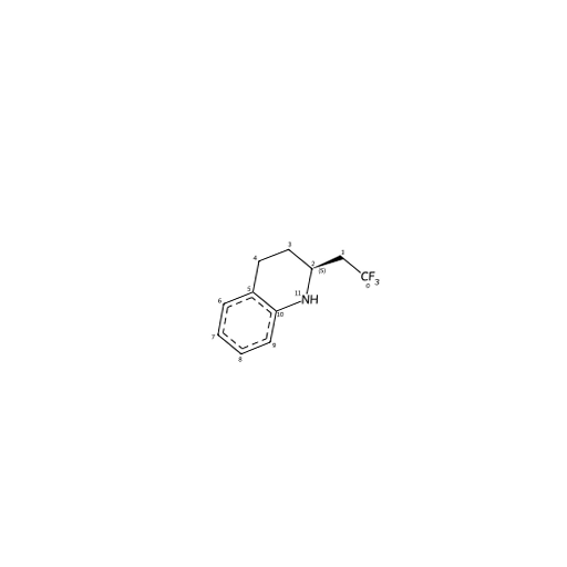 FC(F)(F)C[C@@H]1CCc2ccccc2N1